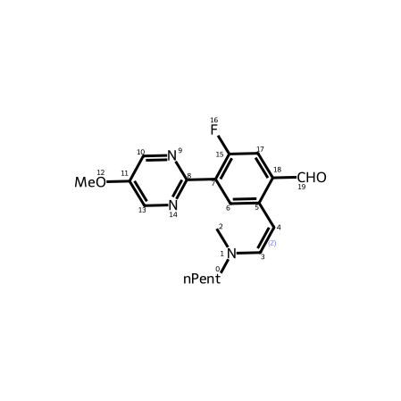 CCCCCN(C)/C=C\c1cc(-c2ncc(OC)cn2)c(F)cc1C=O